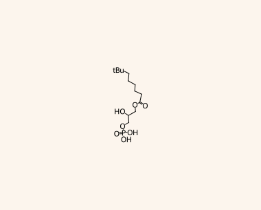 CC(C)(C)CCCCCC(=O)OCC(O)COP(=O)(O)O